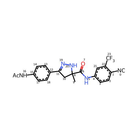 [C-]#[N+]c1ccc(NC(=O)C2(C)CC(c3ccc(NC(C)=O)cc3)=NN2)cc1C(F)(F)F